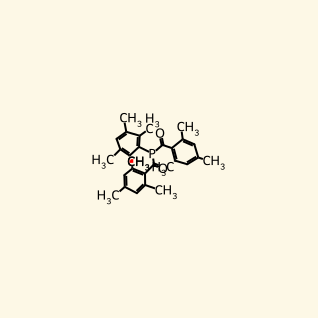 Cc1cc(C)c(C(=O)P(C(=O)c2c(C)cc(C)cc2C)c2c(C)c(C)cc(C)c2C)c(C)c1